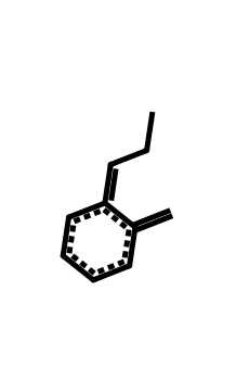 C=c1cccc/c1=C/CC